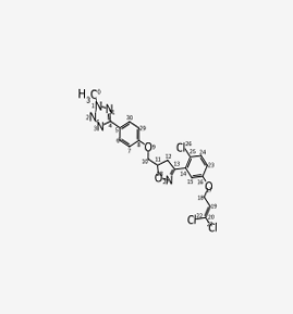 Cn1nnc(-c2ccc(OCC3CC(c4cc(OCC=C(Cl)Cl)ccc4Cl)=NO3)cc2)n1